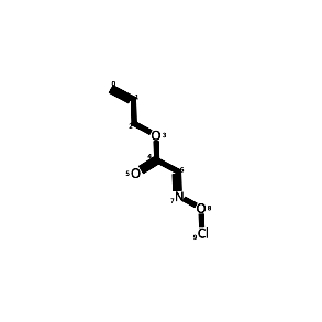 C=CCOC(=O)C=NOCl